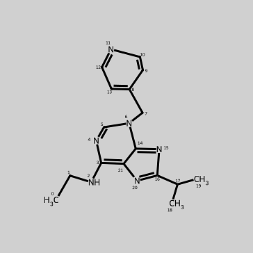 CCNc1ncn(Cc2ccncc2)c2nc(C(C)C)nc1-2